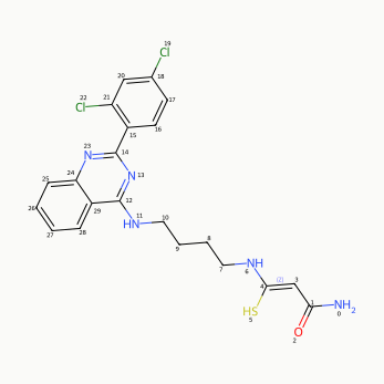 NC(=O)/C=C(\S)NCCCCNc1nc(-c2ccc(Cl)cc2Cl)nc2ccccc12